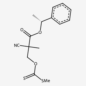 CSC(=S)OCC(C)(C#N)C(=O)O[C@H](C)c1ccccc1